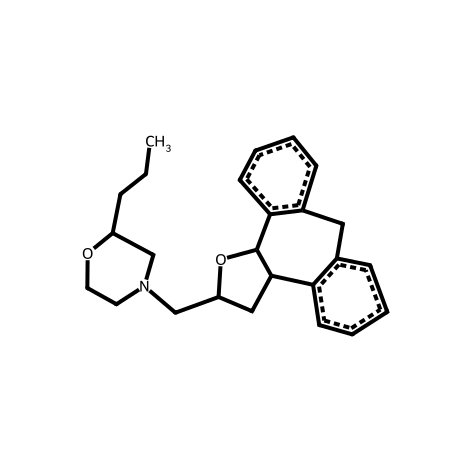 CCCC1CN(CC2CC3c4ccccc4Cc4ccccc4C3O2)CCO1